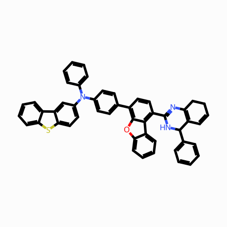 C1=CC2=C(CC1)N=C(c1ccc(-c3ccc(N(c4ccccc4)c4ccc5sc6ccccc6c5c4)cc3)c3oc4ccccc4c13)NC2c1ccccc1